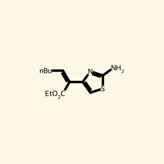 CCCC/C=C(\C(=O)OCC)c1csc(N)n1